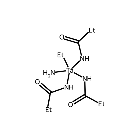 CCC(=O)[NH][Ta]([NH2])([CH2]C)([NH]C(=O)CC)[NH]C(=O)CC